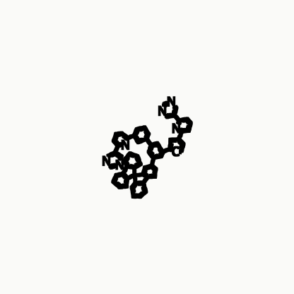 c1cc(-c2cc(-c3cccc(-c4cccc(-c5cncnc5)n4)c3)cc(-c3ccc4c(c3)C3(c5ccccc5-c5ccccc53)c3ccccc3-4)c2)cc(-c2cccc(-c3cncnc3)n2)c1